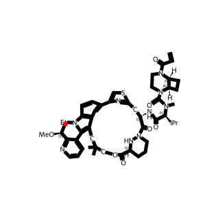 C=CC(=O)N1CCN(C(=O)N(C)[C@H](C(=O)N[C@H]2Cc3nc(cs3)-c3ccc4c(c3)c(c(-c3cccnc3[C@H](C)OC)n4CC)CC(C)(C)COC(=O)[C@@H]3CCCN(N3)C2=O)C(C)C)[C@@H]2CC[C@@H]21